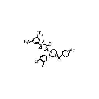 CC(=O)N1CCC(C(=O)N2CC[C@@H](N(C)C(=O)N(C)C3(c4cc(C(F)(F)F)cc(C(F)(F)F)c4)CC3)[C@H](c3ccc(Cl)c(Cl)c3)C2)CC1